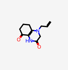 C=CCN1CC(=O)NC2=C1CCCC2=O